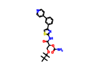 CC(C)(C)[Si](C)(C)OCC(OC(N)=O)C(=O)Nc1nc(-c2cccc(-c3ccncc3)c2)cs1